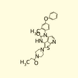 CCC(=O)N1CCN(c2sc3nccc4c3c2NC(=O)N4c2ccc(Oc3ccccc3)cc2C)CC1